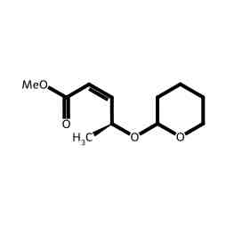 COC(=O)/C=C\[C@H](C)OC1CCCCO1